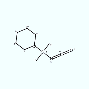 C[Si](C)(N=C=O)[C]1CCCCC1